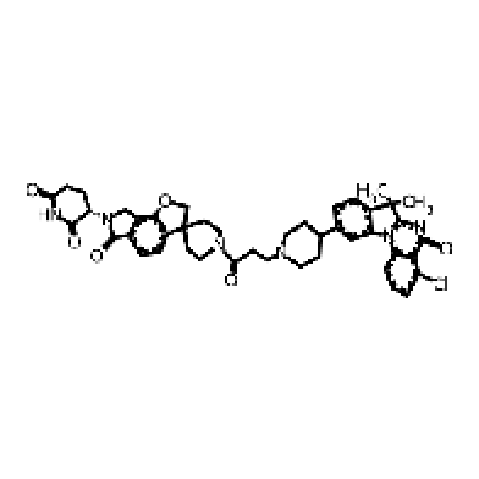 CC1(C)c2ccc(C3CCN(CCC(=O)N4CCC5(CC4)COc4c5ccc5c4CN([C@H]4CCC(=O)NC4=O)C5=O)CC3)cc2-n2c1nc(=O)c1c(Cl)cccc12